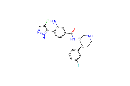 Nc1cc(C(=O)N[C@@H]2CNCC[C@H]2c2cccc(F)c2)ccc1-c1[nH]ncc1Cl